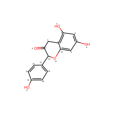 O=C1Cc2c(O)cc(O)cc2OC1c1ccc(O)cc1